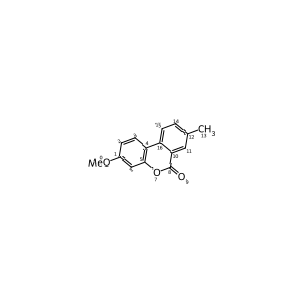 COc1ccc2c(c1)oc(=O)c1cc(C)ccc12